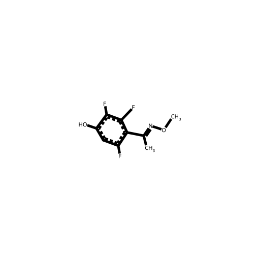 CON=C(C)c1c(F)cc(O)c(F)c1F